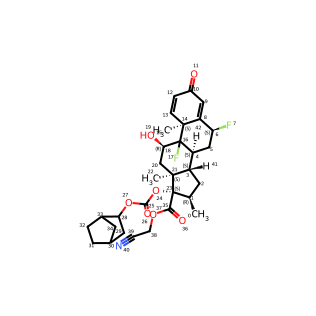 C[C@@H]1C[C@H]2[C@@H]3C[C@H](F)C4=CC(=O)C=C[C@]4(C)C3(F)[C@H](O)C[C@]2(C)[C@]1(OC(=O)OC1CC2CCC1C2)C(=O)OCC#N